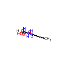 CCCCCCCCCCCC(=O)NCC(=O)NCC(=O)N[C@@H](C)C(=O)O